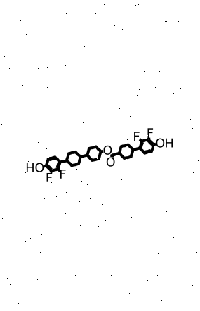 O=C(OC1CCC(C2CCC(c3ccc(O)c(F)c3F)CC2)CC1)C1CCC(c2ccc(O)c(F)c2F)CC1